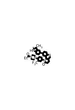 CCC(=O)N1CCN(c2ccc(-n3c(=O)ccc4cnc5ccc(-c6ccc7[nH]nc(C)c7c6)cc5c43)cc2C(F)(F)F)CC1